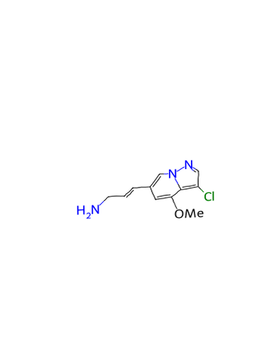 COc1cc(/C=C/CN)cn2ncc(Cl)c12